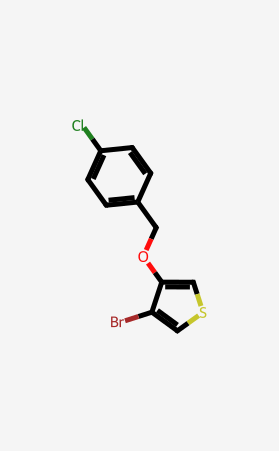 Clc1ccc(COc2cscc2Br)cc1